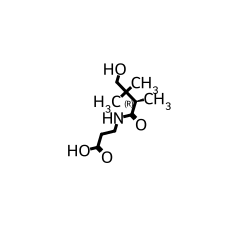 C[C@@H](C(=O)NCCC(=O)O)C(C)(C)CO